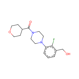 O=C(C1CCOCC1)N1CCN(c2cccc(CO)c2F)CC1